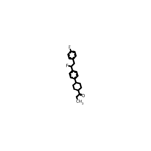 CCC(=O)C1CCC(c2ccc(C(F)Cc3ccc(F)cc3)cc2)CC1